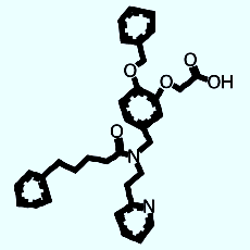 O=C(O)COc1cc(CN(CCc2ccccn2)C(=O)CCCCc2ccccc2)ccc1OCc1ccccc1